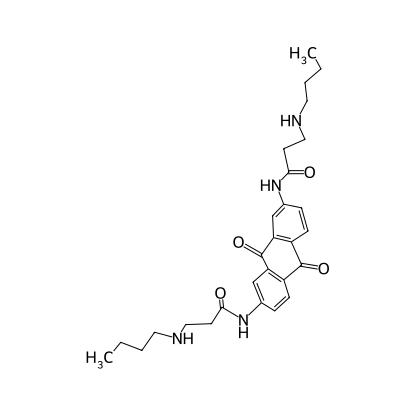 CCCCNCCC(=O)Nc1ccc2c(c1)C(=O)c1cc(NC(=O)CCNCCCC)ccc1C2=O